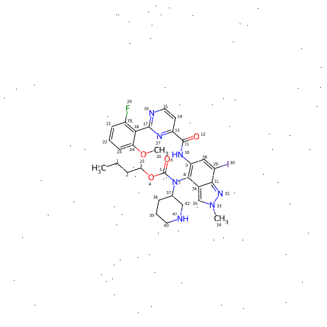 CCCCOC(=O)N(c1c(NC(=O)c2ccnc(-c3c(F)cccc3OC)n2)cc(I)c2nn(C)cc12)C1CCCNC1